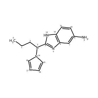 CCCN(c1nc2cc(N)ccc2[nH]1)n1ccnc1